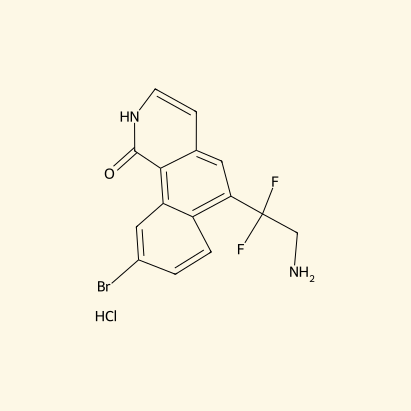 Cl.NCC(F)(F)c1cc2cc[nH]c(=O)c2c2cc(Br)ccc12